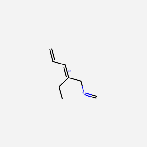 C=C/C=C(\CC)CN=C